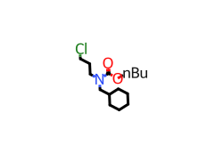 CCCCOC(=O)N(CCCCl)CC1CCCCC1